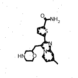 Cc1ccn2c(CC3CNCCO3)c(-c3ccc(C(N)=O)s3)nc2c1